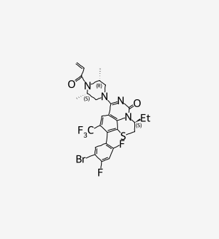 C=CC(=O)N1[C@H](C)CN(c2nc(=O)n3c4c(c(-c5cc(Br)c(F)cc5F)c(C(F)(F)F)cc24)SC[C@@H]3CC)C[C@@H]1C